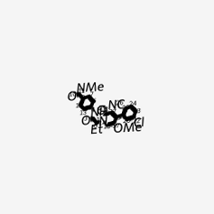 CCC(C(=O)Nc1ccc(C(=O)NC)cc1)n1cc(OC)c(-c2cc(Cl)ccc2C#N)cc1=O